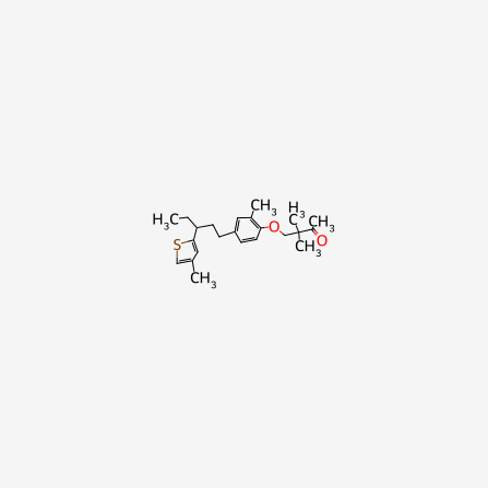 CCC(CCc1ccc(OCC(C)(C)C(C)=O)c(C)c1)c1cc(C)cs1